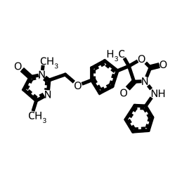 Cc1cc(=O)n(C)c(COc2ccc(C3(C)OC(=O)N(Nc4ccccc4)C3=O)cc2)n1